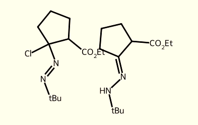 CCOC(=O)C1CCC/C1=N\NC(C)(C)C.CCOC(=O)C1CCCC1(Cl)/N=N/C(C)(C)C